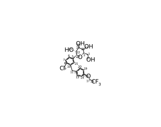 OC[C@H]1O[C@@H](c2ccc(Cl)c(Cc3ccc(OCC(F)(F)F)cc3)c2)[C@H](O)[C@@H](O)[C@@H]1O